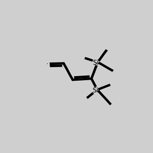 [CH]=CC=C([Si](C)(C)C)[Si](C)(C)C